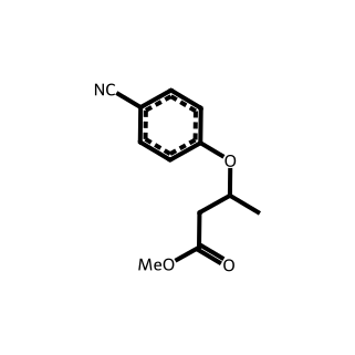 COC(=O)CC(C)Oc1ccc(C#N)cc1